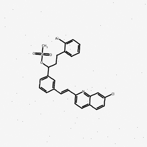 CC(=O)c1ccccc1CCC(OS(C)(=O)=O)c1cccc(/C=C/c2ccc3ccc(Cl)cc3n2)c1